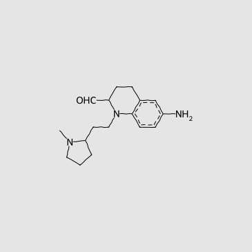 CN1CCCC1CCN1c2ccc(N)cc2CCC1C=O